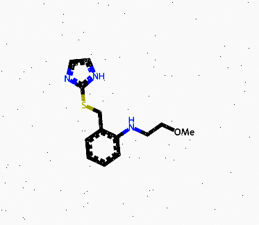 COCCNc1ccccc1CSc1ncc[nH]1